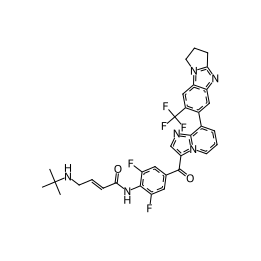 CC(C)(C)NC/C=C/C(=O)Nc1c(F)cc(C(=O)c2cnc3c(-c4cc5nc6n(c5cc4C(F)(F)F)CCC6)cccn23)cc1F